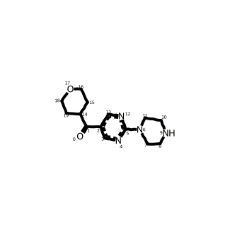 O=C(c1cnc(N2CCNCC2)nc1)C1CCOCC1